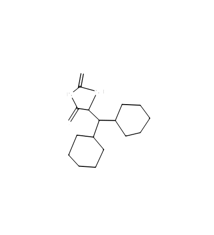 O=C1NC(=O)C(C(C2CCCCC2)C2CCCCC2)N1